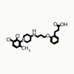 Cc1ccc(Cl)c(Cl)c1N1CCC(NCCCOc2ccccc2CCC(=O)O)CC1